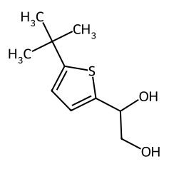 CC(C)(C)c1ccc(C(O)CO)s1